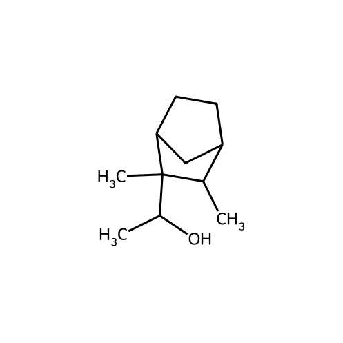 CC(O)C1(C)C2CCC(C2)C1C